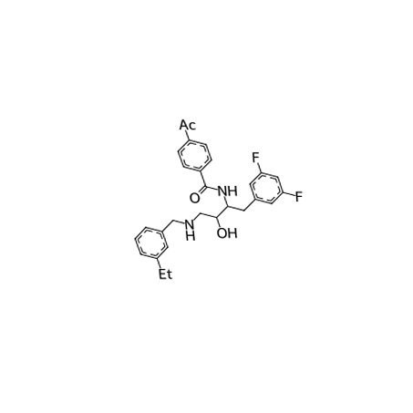 CCc1cccc(CNCC(O)C(Cc2cc(F)cc(F)c2)NC(=O)c2ccc(C(C)=O)cc2)c1